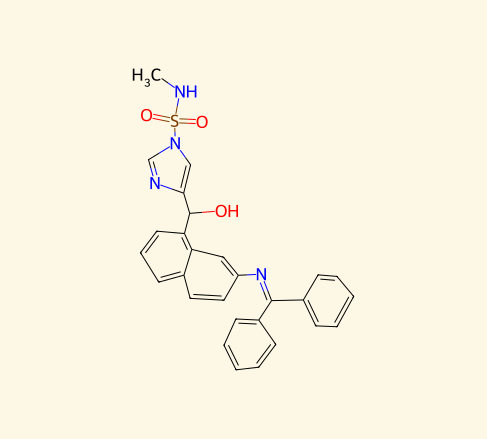 CNS(=O)(=O)n1cnc(C(O)c2cccc3ccc(N=C(c4ccccc4)c4ccccc4)cc23)c1